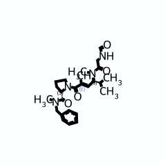 C/C(=C\[C@H](C(C)C)N(C)C(=O)CNC=O)C(=O)N1CCC[C@H]1C(=O)N(C)Cc1ccccc1